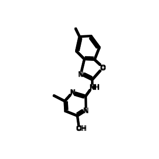 Cc1ccc2oc(Nc3nc(C)cc(O)n3)nc2c1